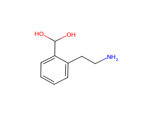 NCCc1ccccc1C(O)O